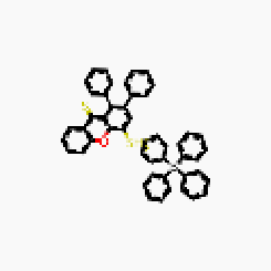 S=c1c2ccccc2oc2c([SH2+])cc(-c3ccccc3)c(-c3ccccc3)c12.c1ccc([B-](c2ccccc2)(c2ccccc2)c2ccccc2)cc1